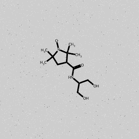 CC1(C)CC(C(=O)NC(CO)CO)C(C)(C)N1[O]